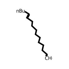 [CH]=CCCCCCCCCC=CCCCC